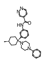 C[C@H]1CC[C@](c2cccc(NC(=O)c3ccnnc3)c2)(N2CCN(c3ccccc3)CC2)CC1